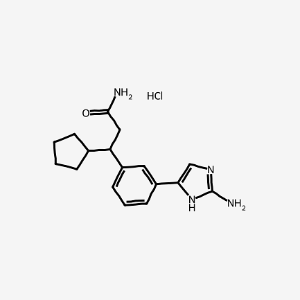 Cl.NC(=O)CC(c1cccc(-c2cnc(N)[nH]2)c1)C1CCCC1